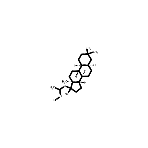 CCOC(C)OC1(C#N)CC[C@H]2[C@@H]3CC[C@@H]4CC(C)(C)CC[C@@H]4[C@H]3CC[C@@]21C